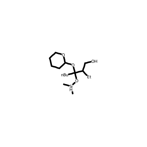 CCCCC(OC1CCCCO1)(O[SiH](C)C)C(CC)CO